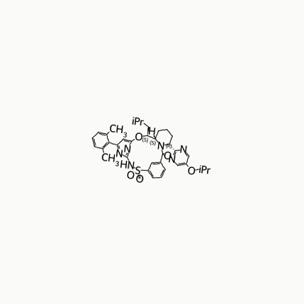 Cc1cccc(C)c1-c1cc2nc(n1)NS(=O)(=O)c1cccc(c1)C(=O)N1[C@@H](c3ncc(OC(C)C)cn3)CCC[C@H]1[C@H](CC(C)C)O2